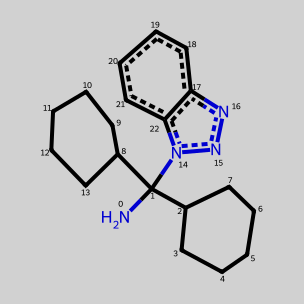 NC(C1CCCCC1)(C1CCCCC1)n1nnc2ccccc21